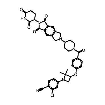 CC1(C)[C@@H](Oc2ccc(C(=O)N3CCC(N4Cc5cc6c(cc5C4)C(=O)N(C4CCC(=O)NC4=O)C6=O)CC3)cc2)CN1c1ccc(C#N)c(Cl)c1